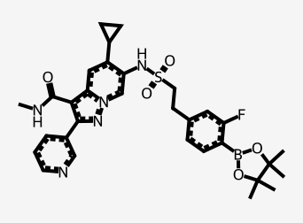 CNC(=O)c1c(-c2cccnc2)nn2cc(NS(=O)(=O)CCc3ccc(B4OC(C)(C)C(C)(C)O4)c(F)c3)c(C3CC3)cc12